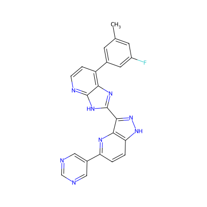 Cc1cc(F)cc(-c2ccnc3[nH]c(-c4n[nH]c5ccc(-c6cncnc6)nc45)nc23)c1